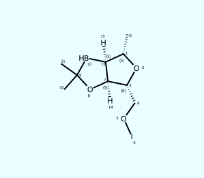 C[C@@H]1O[C@H](COI)[C@H]2OC(C)(C)B[C@H]21